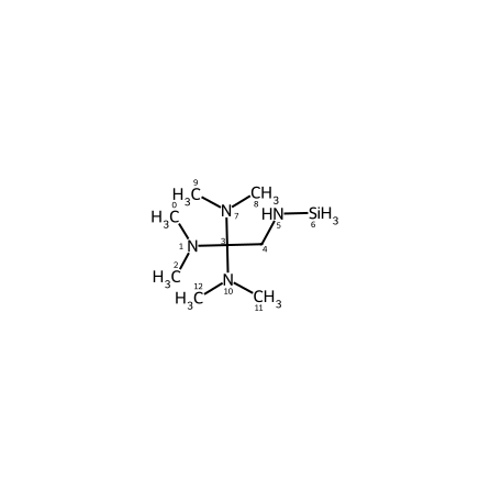 CN(C)C(CN[SiH3])(N(C)C)N(C)C